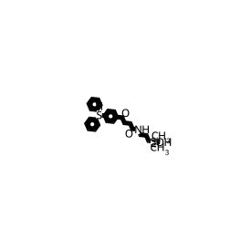 C[Si](C)(O)CCCNC(=O)CCC(=O)c1ccc([SH](c2ccccc2)c2ccccc2)cc1